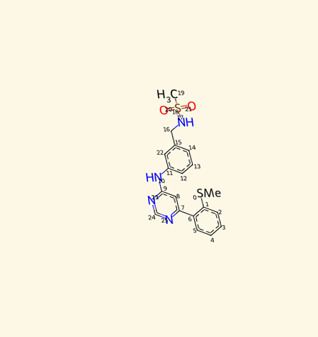 CSc1ccccc1-c1cc(Nc2cccc(CNS(C)(=O)=O)c2)ncn1